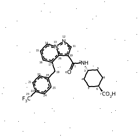 O=C(N[C@H]1CC[C@H](C(=O)O)CC1)c1cnn2cccc(Cc3ccc(C(F)(F)F)cc3)c12